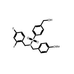 COc1ccc(CN(Cc2ccc(F)cc2F)S(=O)(=O)c2ccc(CO)cc2)cc1